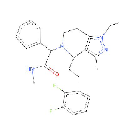 CCn1nc(C)c2c1CCN(C(C(=O)NC)c1ccccc1)C2CCc1cccc(F)c1F